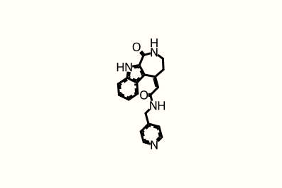 O=C(/C=C1/CCNC(=O)c2[nH]c3ccccc3c21)NCc1ccncc1